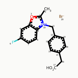 Cc1oc2cc(F)ccc2[n+]1Cc1ccc(CC(=O)O)cc1.[Br-]